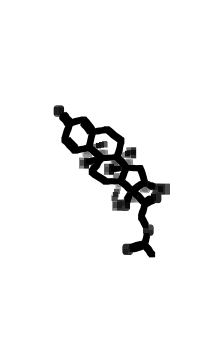 CC(=O)OCC(=O)[C@@]1(O)[C@H](O)C[C@H]2[C@@H]3CCC4=CC(=O)C=C[C@]4(C)[C@H]3CC[C@@]21C